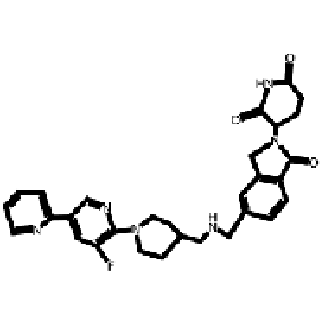 O=C1CCC(N2Cc3cc(CNCC4CCN(c5ncc(-c6ccccn6)cc5F)CC4)ccc3C2=O)C(=O)N1